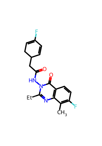 CCc1nc2c(C)c(F)ccc2c(=O)n1NC(=O)CC1C=CC(F)=CC1